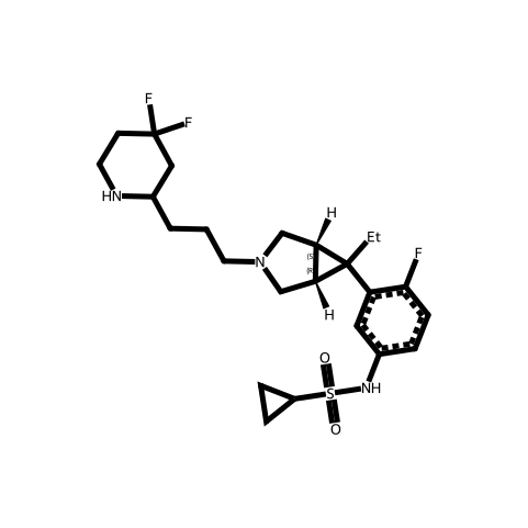 CCC1(c2cc(NS(=O)(=O)C3CC3)ccc2F)[C@@H]2CN(CCCC3CC(F)(F)CCN3)C[C@@H]21